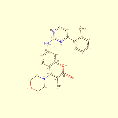 CNc1ccccc1-c1ccnc(Nc2ccc3c(N4CCOCC4)c(C(C)=O)c(=O)oc3c2)n1